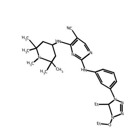 CCON1N=NN(c2cccc(Nc3ncc(C#N)c(NC4CC(C)(C)N(C)C(C)(C)C4)n3)c2)C1CC